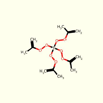 C=C(C)O[O][Ti]([O]OC(=C)C)([O]OC(=C)C)[O]OC(=C)C